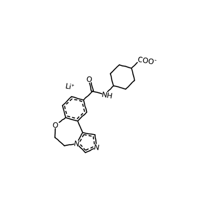 O=C(NC1CCC(C(=O)[O-])CC1)c1ccc2c(c1)-c1cncn1CCO2.[Li+]